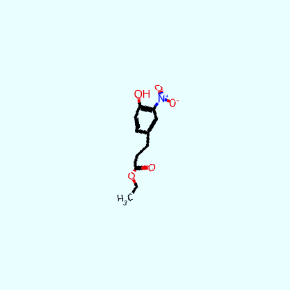 CCOC(=O)CCc1ccc(O)c([N+](=O)[O-])c1